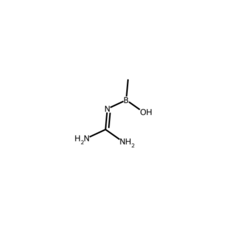 CB(O)N=C(N)N